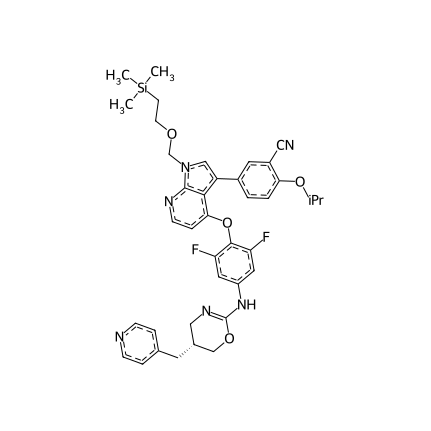 CC(C)Oc1ccc(-c2cn(COCC[Si](C)(C)C)c3nccc(Oc4c(F)cc(NC5=NC[C@@H](Cc6ccncc6)CO5)cc4F)c23)cc1C#N